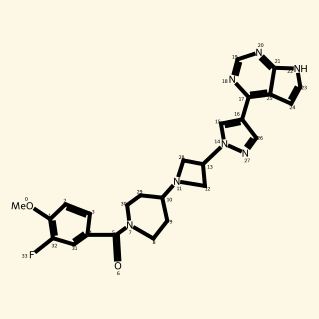 COc1ccc(C(=O)N2CCC(N3C[C](n4cc(-c5ncnc6[nH]ccc56)cn4)C3)CC2)cc1F